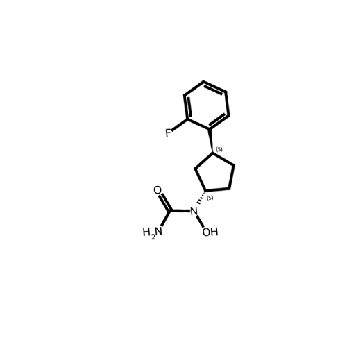 NC(=O)N(O)[C@H]1CC[C@H](c2ccccc2F)C1